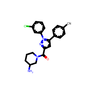 N#Cc1ccc(-c2cc(C(=O)N3CCCC(N)C3)nn2-c2cccc(Cl)c2)cc1